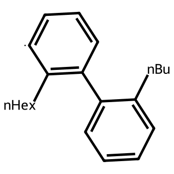 CCCCCCc1[c]cccc1-c1ccccc1CCCC